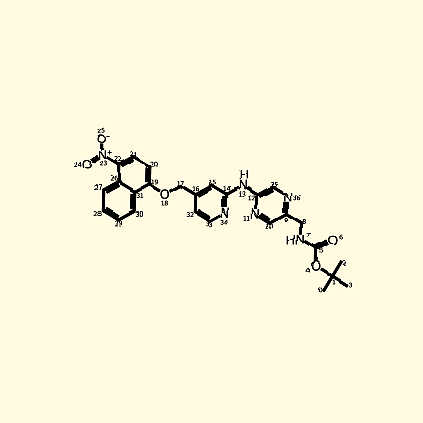 CC(C)(C)OC(=O)NCc1cnc(Nc2cc(COc3ccc([N+](=O)[O-])c4ccccc34)ccn2)cn1